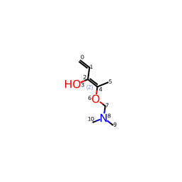 C=C/C(O)=C(\C)OCN(C)C